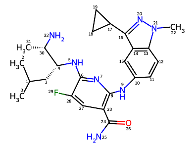 CC(C)C[C@@H](Nc1nc(Nc2ccc3c(c2)c(C2CC2)nn3C)c(C(N)=O)cc1F)[C@H](C)N